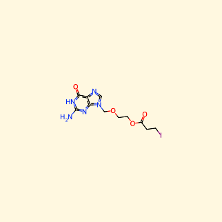 Nc1nc2c(ncn2COCCOC(=O)CCI)c(=O)[nH]1